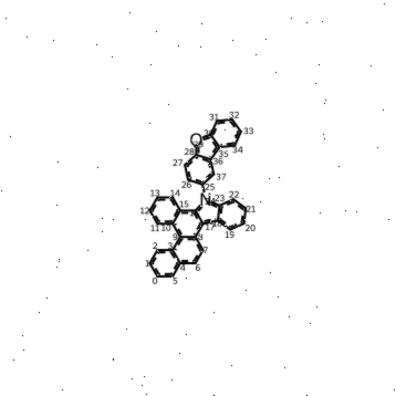 c1ccc2c(c1)ccc1c2c2ccccc2c2c1c1ccccc1n2-c1ccc2oc3ccccc3c2c1